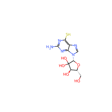 Nc1nc(S)c2ncn([C@@H]3O[C@H](CO)[C@@H](O)C3(O)O)c2n1